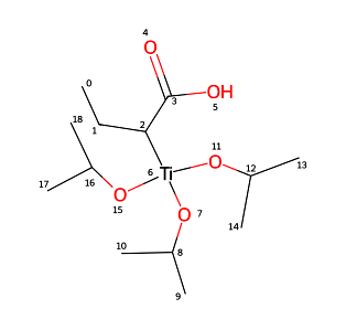 CC[CH](C(=O)O)[Ti]([O]C(C)C)([O]C(C)C)[O]C(C)C